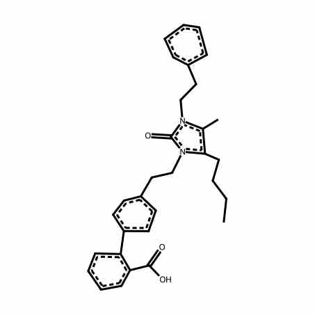 CCCCc1c(C)n(CCc2ccccc2)c(=O)n1CCc1ccc(-c2ccccc2C(=O)O)cc1